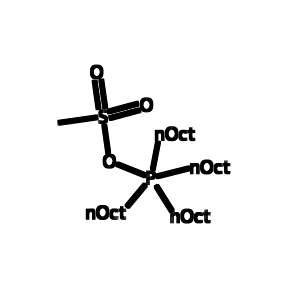 CCCCCCCCP(CCCCCCCC)(CCCCCCCC)(CCCCCCCC)OS(C)(=O)=O